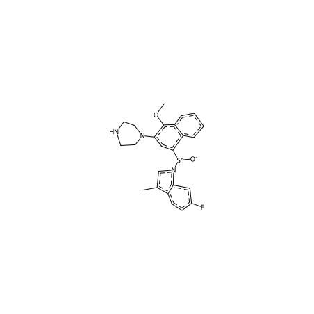 COc1c(N2CCNCC2)cc([S+]([O-])n2cc(C)c3ccc(F)cc32)c2ccccc12